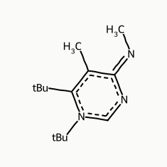 C/N=c1/ncn(C(C)(C)C)c(C(C)(C)C)c1C